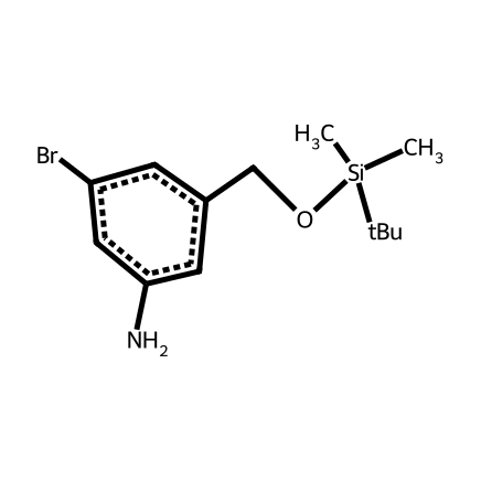 CC(C)(C)[Si](C)(C)OCc1cc(N)cc(Br)c1